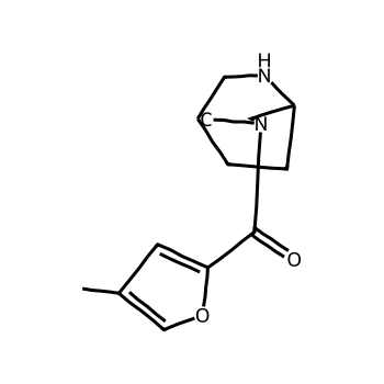 Cc1coc(C(=O)N2CC3CCC(C2)NC3)c1